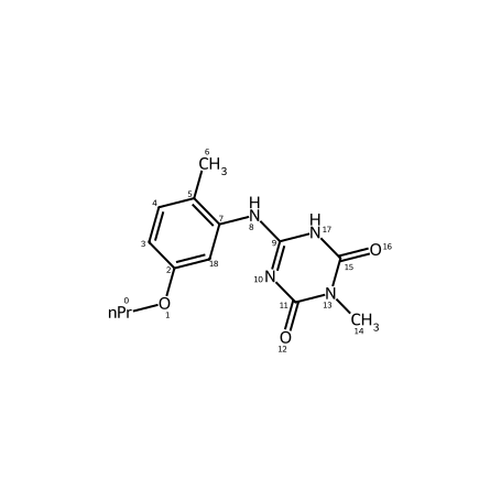 CCCOc1ccc(C)c(Nc2nc(=O)n(C)c(=O)[nH]2)c1